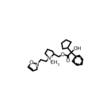 C[N@+]1(CCN2CC=CO2)CCCC1COC(=O)C(O)(c1ccccc1)C1CCCC1